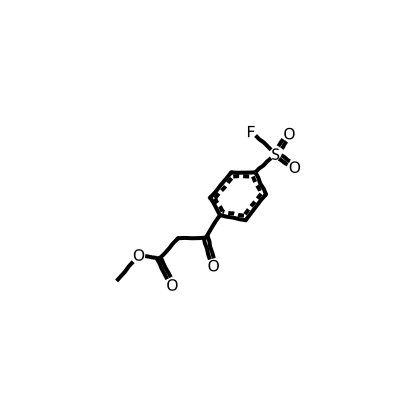 COC(=O)CC(=O)c1ccc(S(=O)(=O)F)cc1